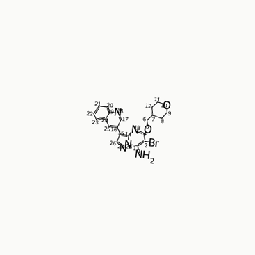 Nc1c(Br)c(OCC2CCOCC2)nc2c(-c3cnc4ccccc4c3)cnn12